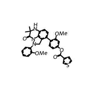 COc1cc(OC(=O)c2ccsc2)ccc1-c1ccc2c3c1CN(c1ccccc1OC)N3C(=O)C(C)(C)N2